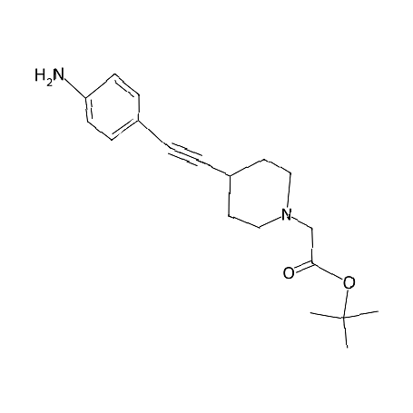 CC(C)(C)OC(=O)CN1CCC(C#Cc2ccc(N)cc2)CC1